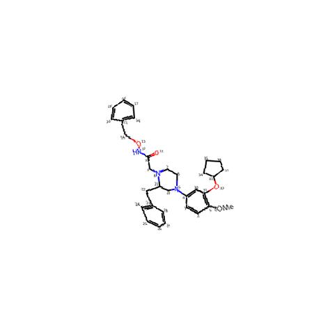 COc1ccc(N2CCN(CC(=O)NOCc3ccccc3)C(Cc3ccccc3)C2)cc1OC1CCCC1